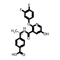 C[C@H](NC(=O)c1cc(O)cnc1Oc1ccc(F)c(F)c1)c1ccc(C(=O)O)cc1